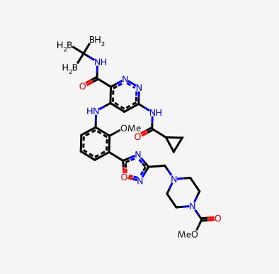 BC(B)(B)NC(=O)c1nnc(NC(=O)C2CC2)cc1Nc1cccc(-c2nc(CN3CCN(C(=O)OC)CC3)no2)c1OC